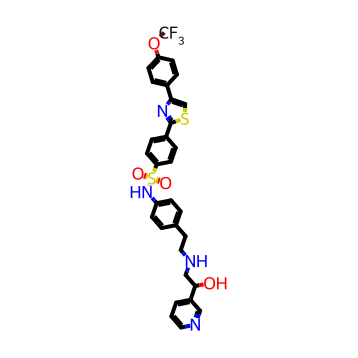 O=S(=O)(Nc1ccc(CCNCC(O)c2cccnc2)cc1)c1ccc(-c2nc(-c3ccc(OC(F)(F)F)cc3)cs2)cc1